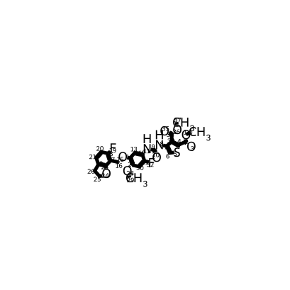 COC(=O)c1scc(NC(=O)Nc2cc(OCc3c(F)ccc4c3OCC4)c(OC)cc2F)c1C(=O)OC